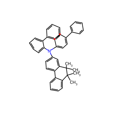 CC1(C)c2ccccc2-c2ccc(N(c3ccc(-c4ccccc4)cc3)c3ccccc3-c3ccccc3)cc2C1(C)C